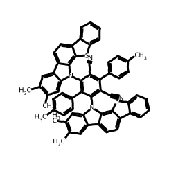 Cc1ccc(-c2c(C#N)c(-n3c4cc(C)c(C)cc4c4ccc5c6ccccc6sc5c43)c(-c3ccc(C)cc3)c(-n3c4cc(C)c(C)cc4c4ccc5c6ccccc6sc5c43)c2C#N)cc1